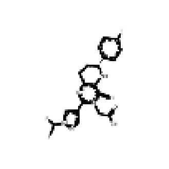 O=C(O)Cn1c(-c2cnn(C(F)F)c2)nc2c(c1=O)N[C@@H](c1ccc(F)cc1)CC2